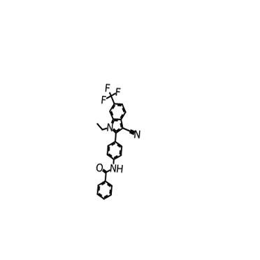 CCn1c(-c2ccc(NC(=O)c3ccccc3)cc2)c(C#N)c2ccc(C(F)(F)F)cc21